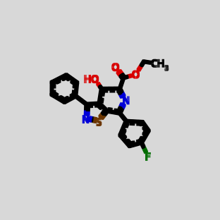 CCOC(=O)c1nc(-c2ccc(F)cc2)c2snc(-c3ccccc3)c2c1O